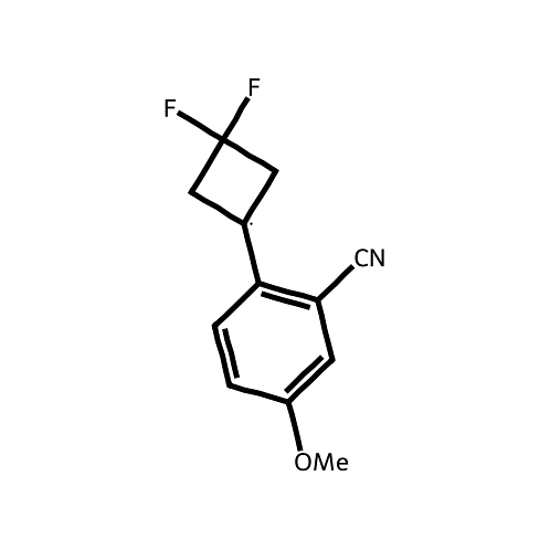 COc1ccc([C]2CC(F)(F)C2)c(C#N)c1